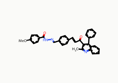 COc1ccc(C(=O)N/N=C/c2ccc(/C=C/C(=O)c3c(C)nc4ccccc4c3-c3ccccc3)cc2)cc1